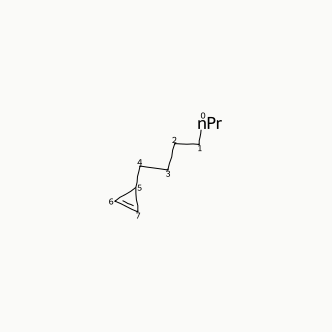 [CH2]CCCCCCC1C=C1